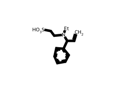 C=CC(c1ccccc1)N(CC)CCS(=O)(=O)O